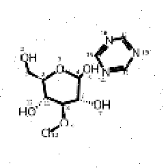 OC[C@H]1OC(O)[C@H](O)[C@@H](OCl)[C@@H]1O.c1ncncn1